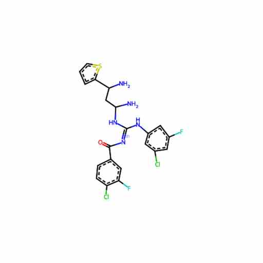 NC(CC(N)c1cccs1)N/C(=N\C(=O)c1ccc(Cl)c(F)c1)Nc1cc(F)cc(Cl)c1